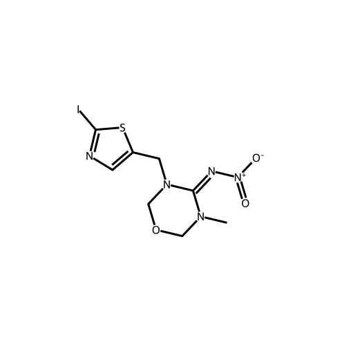 CN1COCN(Cc2cnc(I)s2)C1=N[N+](=O)[O-]